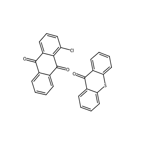 O=C1c2ccccc2C(=O)c2c(Cl)cccc21.O=c1c2ccccc2sc2ccccc12